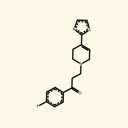 O=C(CCN1CC=C(c2nccs2)CC1)c1ccc(F)cc1